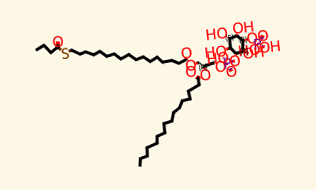 CCCCCCCCCCCCCCCC(=O)O[C@H](COC(=O)CCCCCCCCCCCCCCCCSC(=O)CCC)COP(=O)(O)OC1C(O)[C@@H](O)C(O)[C@@H](OP(=O)(O)O)[C@H]1O